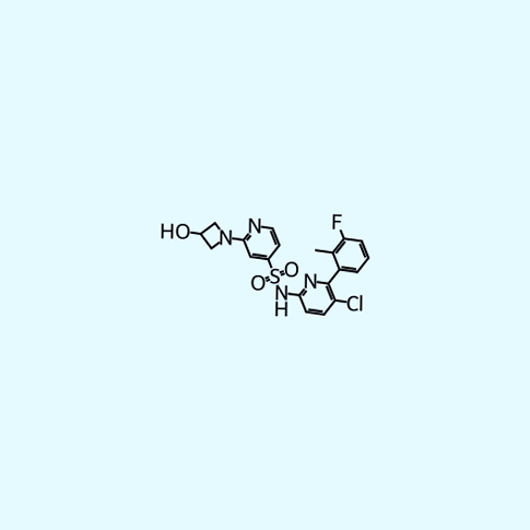 Cc1c(F)cccc1-c1nc(NS(=O)(=O)c2ccnc(N3CC(O)C3)c2)ccc1Cl